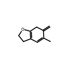 C=C1CC2=C(C=C1C)CCO2